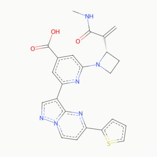 C=C(C(=O)NC)[C@@H]1CCN1c1cc(C(=O)O)cc(-c2cnn3ccc(-c4cccs4)nc23)n1